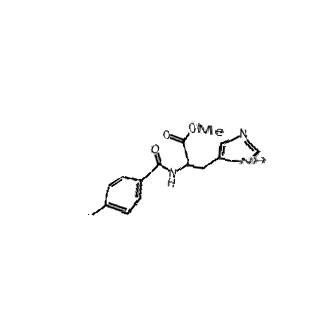 [CH2]c1ccc(C(=O)NC(Cc2cnc[nH]2)C(=O)OC)cc1